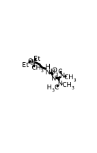 CCO[Si](C)(CC)CCCNC(=O)N=C(N(C)C)N(C)C